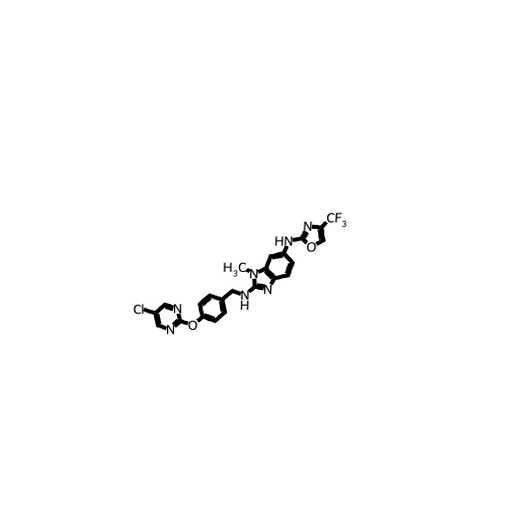 Cn1c(NCc2ccc(Oc3ncc(Cl)cn3)cc2)nc2ccc(Nc3nc(C(F)(F)F)co3)cc21